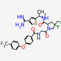 C[C@@H](NC(=O)C1C[C@](F)(CF)CN1C(=O)CNC(=O)c1ccc(Oc2ccc(C(F)(F)F)cc2)cc1)c1cc(C(=N)N)cs1